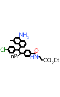 CCC[C@H](c1ccc(C(=O)NCCC(=O)OCC)cc1)C(c1ccc(Cl)cc1)c1cccc2c(N)cc(C)cc12